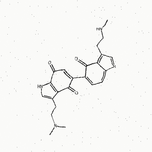 CNCCC1=C2C(=O)C(C3=CC(=O)c4[nH]cc(CCN(C)C)c4C3=O)=CC=C2N=C1